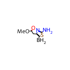 Bc1sc(N)nc1CC(=O)OC